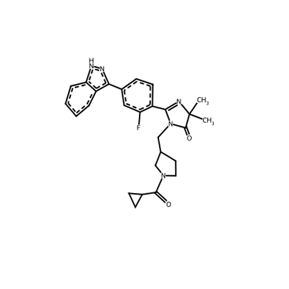 CC1(C)N=C(c2ccc(-c3n[nH]c4ccccc34)cc2F)N(CC2CCN(C(=O)C3CC3)C2)C1=O